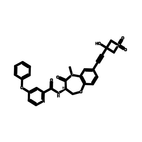 CN1C(=O)[C@H](NC(=O)c2cc(Oc3ccccc3)ccn2)COc2ccc(C#CC3(O)CS(=O)(=O)C3)cc21